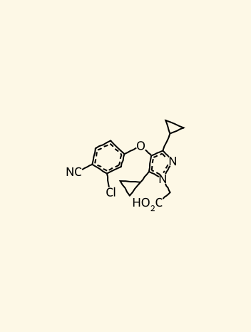 N#Cc1ccc(Oc2c(C3CC3)nn(CC(=O)O)c2C2CC2)cc1Cl